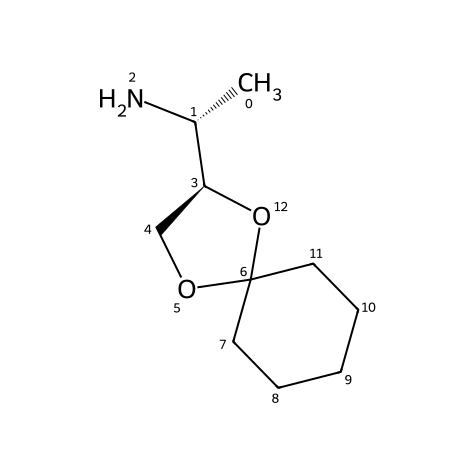 C[C@@H](N)[C@@H]1COC2(CCCCC2)O1